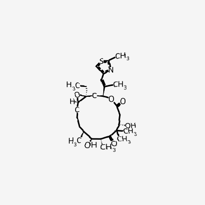 CC[C@]12C[C@@H](C(C)=Cc3csc(C)n3)OC(=O)C[C@H](O)C(C)(C)C(=O)[C@H](C)[C@@H](O)[C@@H](C)CCC[C@H]1O2